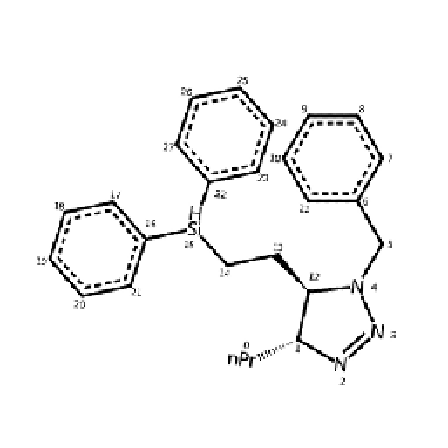 CCC[C@H]1N=NN(Cc2ccccc2)[C@@H]1CC[SiH](c1ccccc1)c1ccccc1